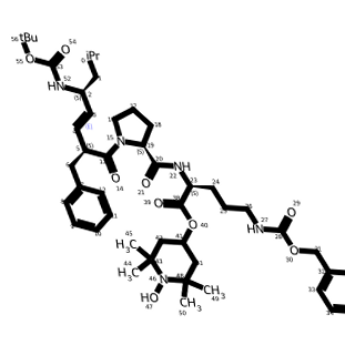 CC(C)C[C@@H](/C=C/[C@H](Cc1ccccc1)C(=O)N1CCC[C@H]1C(=O)N[C@@H](CCCNC(=O)OCc1ccccc1)C(=O)OC1CC(C)(C)N(O)C(C)(C)C1)NC(=O)OC(C)(C)C